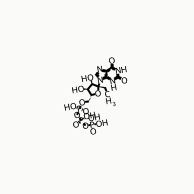 CC[C@@]1(n2cnc3c(=O)[nH]c(=O)[nH]c32)O[C@H](COP(=O)(O)OP(=O)(O)OP(=O)(O)O)[C@@H](O)[C@H]1O